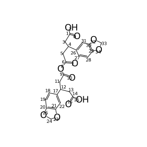 O=C(O)CC(CC(=O)OC(=O)CC(CC(=O)O)c1ccc2c(c1)OCO2)c1ccc2c(c1)OCO2